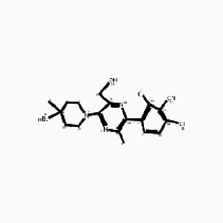 CCCCC1(C)CCN(c2nc(C)c(-c3ccc(Cl)c(C#N)c3Cl)nc2CO)CC1